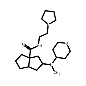 CN(C1CCOCC1)C1CC2CCCC2(C(=O)NCCN2CCCC2)C1